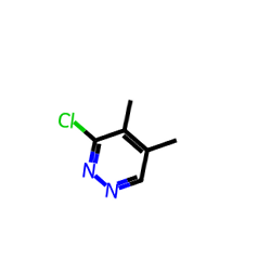 Cc1cnnc(Cl)c1C